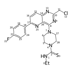 CCNC(=S)N1CCN(c2nc(CCl)nc3ccc(-c4ccc(F)cc4)nc23)CC1